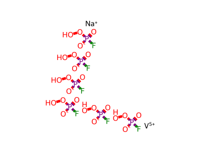 O=P([O-])(F)OO.O=P([O-])(F)OO.O=P([O-])(F)OO.O=P([O-])(F)OO.O=P([O-])(F)OO.O=P([O-])(F)OO.[Na+].[V+5]